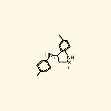 Cc1ccc(N[C@@H]2C[C@@H](C)Nc3ccc(C)cc32)cc1